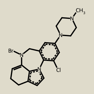 CN1CCN(c2cc(Cl)c3c(c2)CN(Br)C2=CCCc4ccn-3c42)CC1